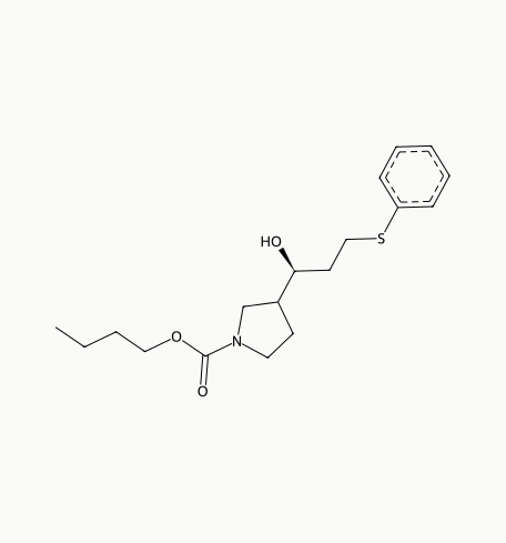 CCCCOC(=O)N1CCC([C@@H](O)CCSc2ccccc2)C1